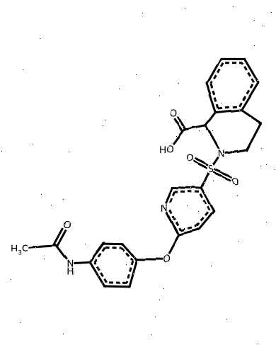 CC(=O)Nc1ccc(Oc2ccc(S(=O)(=O)N3CCc4ccccc4C3C(=O)O)cn2)cc1